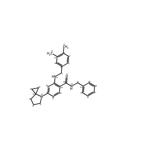 Cc1ccc(CNc2nc(N3CCCC34CC4)ncc2C(=O)NCc2ccccc2)cc1C